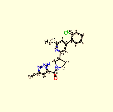 Cc1cc(-c2ccccc2Cl)cc(C2CCN(C(=O)c3cc(C(C)C)n[nH]3)C2)n1